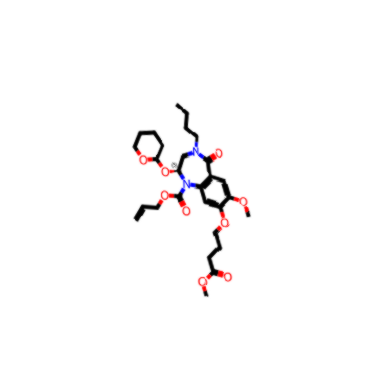 C=CCOC(=O)N1c2cc(OCCCC(=O)OC)c(OC)cc2C(=O)N(CCCC)C[C@@H]1OC1CCCCO1